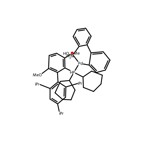 COc1ccc(OC)c([PH](C2CCCCC2)(C2CCCCC2)[Pd]([c]2ccccc2-c2ccccc2N)[S](=O)(=O)O)c1-c1c(C(C)C)cc(C(C)C)cc1C(C)C